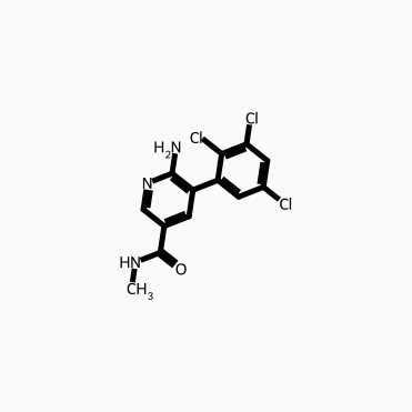 CNC(=O)c1cnc(N)c(-c2cc(Cl)cc(Cl)c2Cl)c1